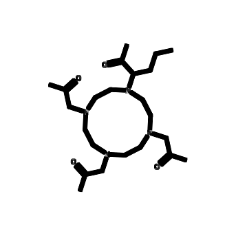 CCCC(C(C)=O)N1CCN(CC(C)=O)CCN(CC(C)=O)CCN(CC(C)=O)CC1